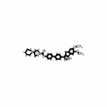 COc1cc2c(cc1OC)-c1[nH]nc(-c3ccc(-c4ccc(OC(=O)N5CCC(N6CCCCC6)CC5)cc4)cc3)c1C2